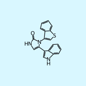 O=c1[nH]cc(-c2c[nH]c3ccccc23)n1-c1csc2ccccc12